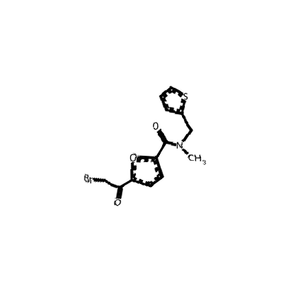 CN(Cc1cccs1)C(=O)c1ccc(C(=O)CBr)o1